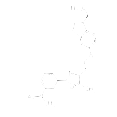 CC(=O)N(C)c1cccc(-c2nc(CCOc3ccc4c(c3)CC[C@H]4CC(=O)O)c(C)o2)c1